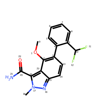 COc1c(-c2ccccc2C(F)F)ccc2nn(C)c(C(N)=O)c12